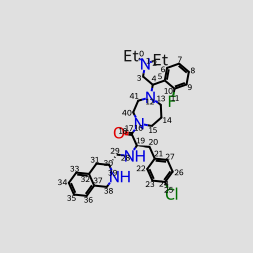 CCN(CC)CC(c1ccccc1F)N1CCCN(C(=O)[C@@H](Cc2ccc(Cl)cc2)NC[C@H]2Cc3ccccc3CN2)CC1